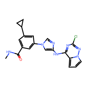 CNC(=O)c1cc(C2CC2)cc(-n2cnc(Nc3nc(Cl)nn4cccc34)c2)c1